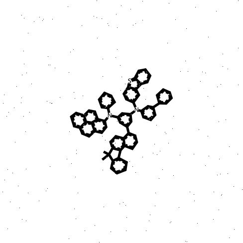 CC1(C)c2ccccc2-c2c1ccc1c(-c3cc(N(c4cccc(-c5ccccc5)c4)c4ccc5sc6ccccc6c5c4)cc(N(c4ccccc4)c4ccc5ccc6cccc7ccc4c5c67)c3)cccc21